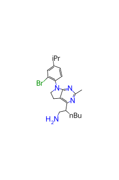 CCCCC(CN)c1nc(C)nc2c1CCN2c1ccc(C(C)C)cc1Br